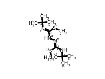 CS/C(=N\C(C)(C)C)N/N=C(/NC(C)(C)C)SC